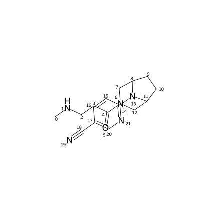 CNCCC(=O)N1CC2CCC(C1)N2c1ccc(C#N)cn1